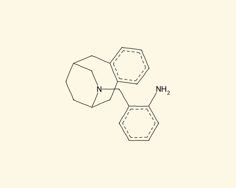 Nc1ccccc1CN1CC2CCC1Cc1ccccc1C2